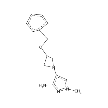 Cn1cc(N2CC(OCc3ccccc3)C2)c(N)n1